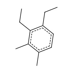 CCc1ccc(C)c(C)c1CC